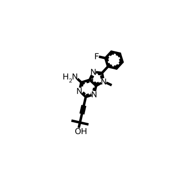 Cn1c(-c2ccccc2F)nc2c(N)nc(C#CC(C)(C)O)nc21